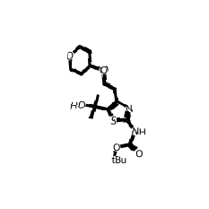 CC(C)(C)OC(=O)Nc1nc(CCOC2CCOCC2)c(C(C)(C)O)s1